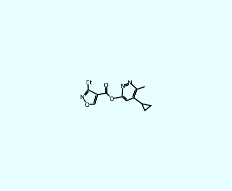 CCc1nocc1C(=O)Oc1cc(C2CC2)c(C)nn1